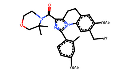 COc1ccc(-c2nc(C(=O)N3CCOCC3(C)C)c3n2-c2cc(CC(C)C)c(OC)cc2CC3)c(C)c1